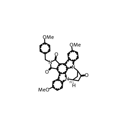 COc1ccc(CN2C(=O)c3c(c4c5cc(OC)ccc5n5c4c4c3c3cc(OC)ccc3n4C3C[C@H]5CC3=O)C2=O)cc1